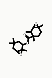 CC1C2OC2(C)CCC1(C)C(=O)OC1CC(C)(C)CC2OC12C